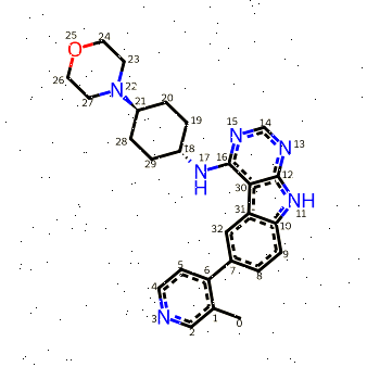 Cc1cnccc1-c1ccc2[nH]c3ncnc(N[C@H]4CC[C@H](N5CCOCC5)CC4)c3c2c1